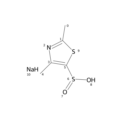 Cc1nc(C)c(S(=O)O)s1.[NaH]